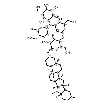 C[C@H]1CC[C@@H]2[C@@H](C)[C@H]3[C@H](C[C@H]4[C@@H]5CC[C@H]6C[C@@H](O[C@@H]7O[C@H](CO)[C@H](O[C@@H]8O[C@H](CO)[C@@H](O)[C@H](O[C@@H]9O[C@H](CO)[C@@H](O)[C@H](O)[C@H]9O)[C@H]8O[C@@H]8O[C@H](CO)[C@@H](O)[C@H](O)[C@H]8O)[C@H](O)[C@H]7O)CC[C@]6(C)[C@H]5CC[C@]34C)N2C1